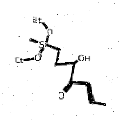 CC=CC(=O)C(O)CC[Si](C)(OCC)OCC